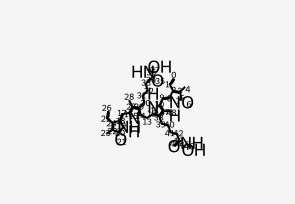 C=CC1=C(C)C(=O)N/C1=C\c1[nH]c(Cc2[nH]c(/C=C3\NC(=O)C(C)=C3C=C)c(C)c2CCCCC(=O)NO)c(CCCCC(=O)NO)c1C